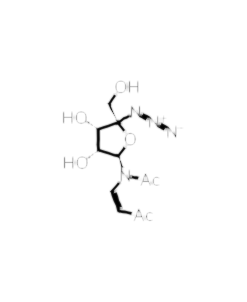 CC(=O)/C=C\N(C(C)=O)[C@@H]1O[C@@](CO)(N=[N+]=[N-])[C@@H](O)[C@H]1O